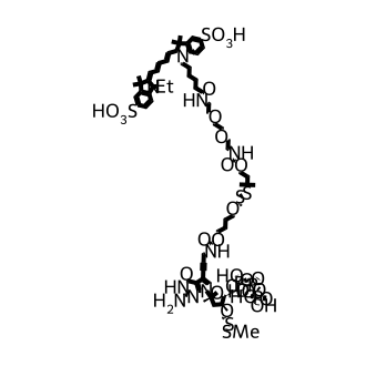 CCN1\C(=C/C=C/C=C/C2=[N+](CCCCCC(=O)NCCOCCOCCNC(=O)OCCC(C)(C)SSCOCCCCOC(=O)NCC#Cc3cn([C@@]4(C)C[C@H](OCSSC)[C@@H](COP(=O)(O)OP(=O)(O)OP(=O)(O)O)O4)c4nc(N)[nH]c(=O)c34)c3ccc(S(=O)(=O)O)cc3C2(C)C)C(C)(C)c2cc(S(=O)(=O)O)ccc21